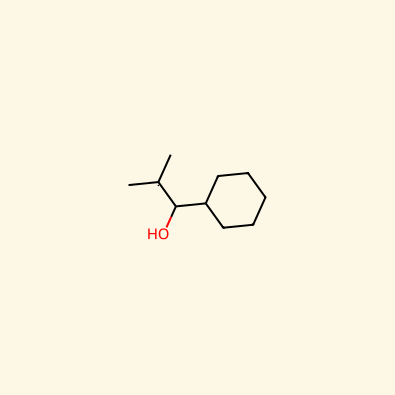 C[C](C)C(O)C1CCCCC1